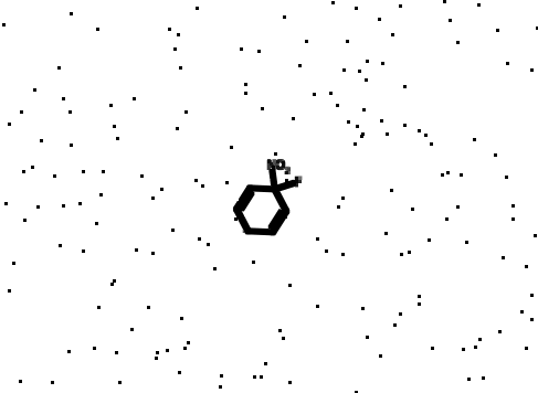 O=[N+]([O-])C1(F)C=C[CH]C=C1